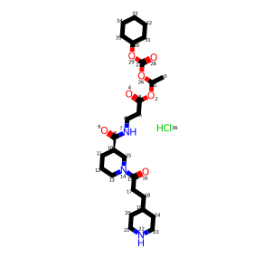 CC(OC(=O)CCNC(=O)[C@@H]1CCCN(C(=O)CCC2CCNCC2)C1)OC(=O)OC1CCCCC1.Cl